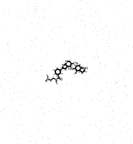 Cc1c(Nc2c(C#N)cnc3sc(-c4cccc(C(=O)N(C)CCN(C)C)c4)cc23)ccc2[nH]ccc12